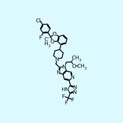 CO[C@H](C)Cn1c(CN2CCC(c3cccc4c3O[C@@](C)(c3ccc(Cl)cc3F)O4)CC2)nc2cc(-c3nnc(C(F)(F)F)[nH]3)ncc21